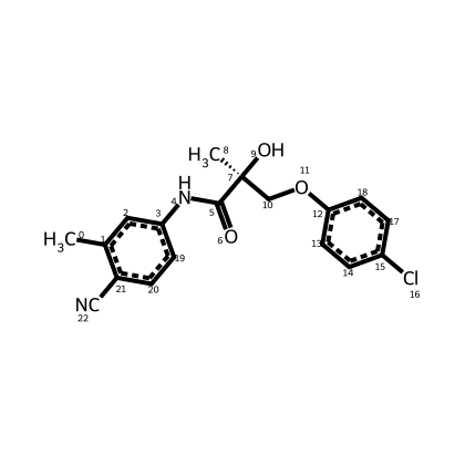 Cc1cc(NC(=O)[C@@](C)(O)COc2ccc(Cl)cc2)ccc1C#N